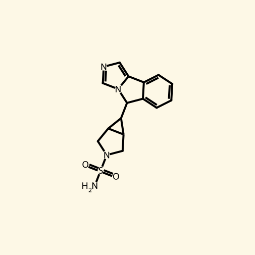 NS(=O)(=O)N1CC2C(C1)C2C1c2ccccc2-c2cncn21